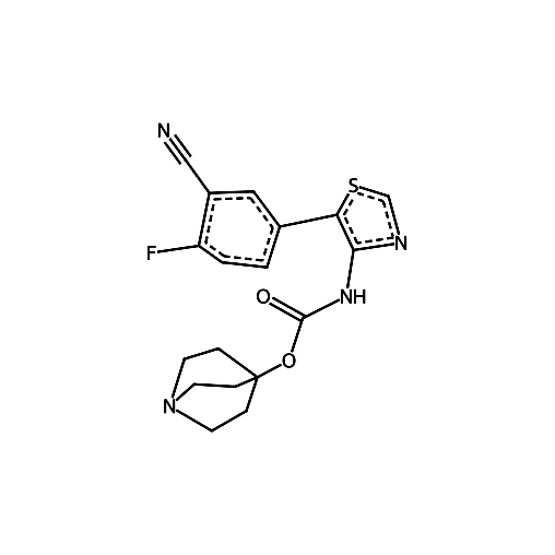 N#Cc1cc(-c2scnc2NC(=O)OC23CCN(CC2)CC3)ccc1F